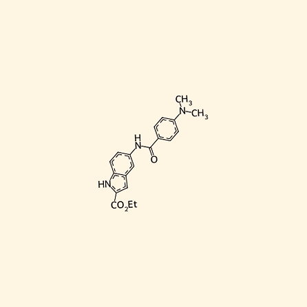 CCOC(=O)c1cc2cc(NC(=O)c3ccc(N(C)C)cc3)ccc2[nH]1